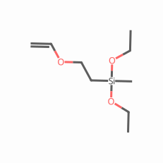 C=COCC[Si](C)(OCC)OCC